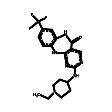 CCN1CCC(Nc2ncc3c(n2)Nc2ccc(C(F)(F)F)cc2NC3=O)CC1